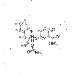 CNC(=O)c1nc(SNC(C(=N)OC(N)=O)C(C)c2c(F)ccc(C)c2C)ccc1Cl